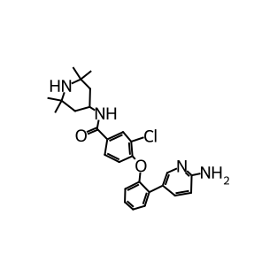 CC1(C)CC(NC(=O)c2ccc(Oc3ccccc3-c3ccc(N)nc3)c(Cl)c2)CC(C)(C)N1